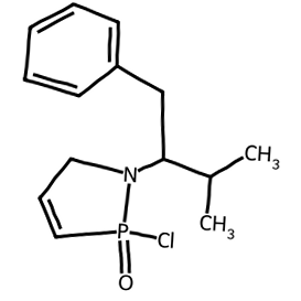 CC(C)C(Cc1ccccc1)N1CC=CP1(=O)Cl